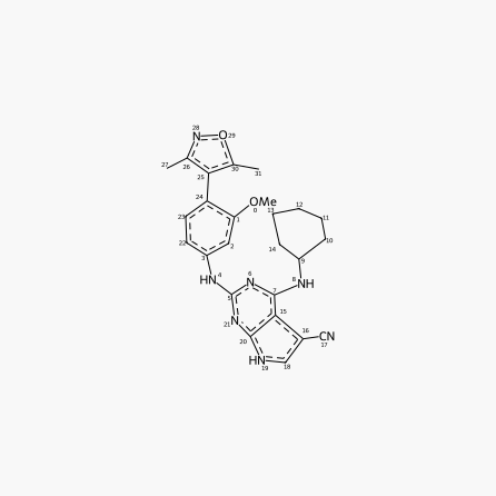 COc1cc(Nc2nc(NC3CCCCC3)c3c(C#N)c[nH]c3n2)ccc1-c1c(C)noc1C